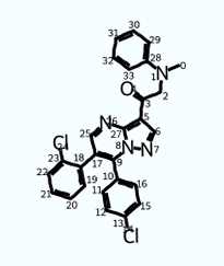 CN(CC(=O)c1cnn2c(-c3ccc(Cl)cc3)c(-c3ccccc3Cl)cnc12)c1ccccc1